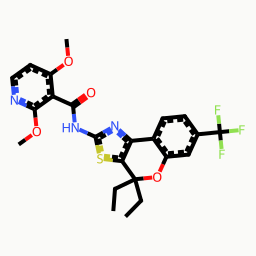 CCC1(CC)Oc2cc(C(F)(F)F)ccc2-c2nc(NC(=O)c3c(OC)ccnc3OC)sc21